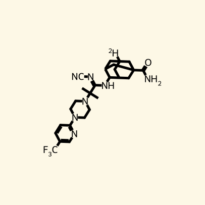 [2H]C12CC3CC(C(N)=O)(CC(C1)C3NC(=NC#N)C(C)(C)N1CCN(c3ccc(C(F)(F)F)cn3)CC1)C2